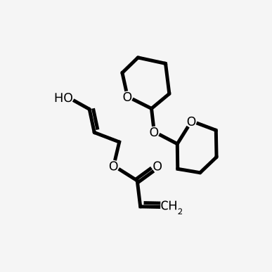 C1CCC(OC2CCCCO2)OC1.C=CC(=O)OCC=CO